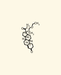 CCOCO[C@]1(C(C)=O)CC[C@H]2[C@@H]3CCC4=CC(=O)CC[C@@H]4[C@H]3CC[C@@]21C